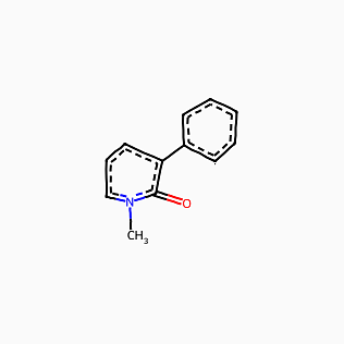 Cn1cccc(-c2[c]cccc2)c1=O